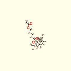 C=CC(=O)OCCCCC(=O)OC1(C(C)C)C2CC3CC1CC(C)(C3)C2